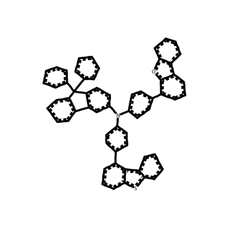 c1ccc(C2(c3ccccc3)c3ccccc3-c3cc(N(c4ccc(-c5cccc6c5oc5ccccc56)cc4)c4ccc(-c5cccc6sc7ccccc7c56)cc4)ccc32)cc1